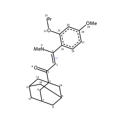 CN/C(=C\C(=O)C12CC3CC(CC(C3)C1)C2)c1ccc(OC)cc1OC(C)C